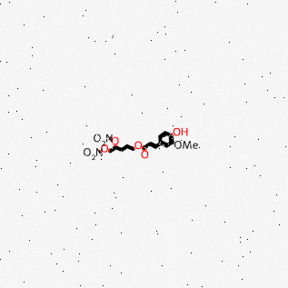 COc1cc(/C=C/C(=O)OCCCC(CO[N+](=O)[O-])O[N+](=O)[O-])ccc1O